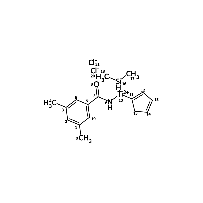 Cc1cc(C)cc(C(=O)[NH][Ti+2]([C]2=CC=CC2)[SiH](C)C)c1.[Cl-].[Cl-]